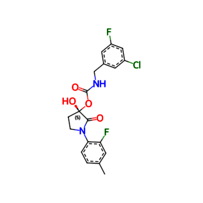 Cc1ccc(N2CC[C@](O)(OC(=O)NCc3cc(F)cc(Cl)c3)C2=O)c(F)c1